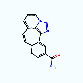 NC(=O)c1ccc2c(c1)-c1nnn3cccc(c13)C=C2